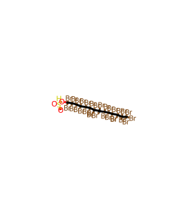 O=[SH](=O)OC(Br)(Br)C(Br)(Br)C(Br)(Br)C(Br)(Br)C(Br)(Br)C(Br)(Br)C(Br)(Br)C(Br)(Br)C(Br)(Br)C(Br)(Br)C(Br)(Br)C(Br)(Br)C(Br)(Br)C(Br)(Br)Br